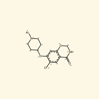 CC(=O)N1CCC(Oc2cc3c(cc2Cl)C(=O)NCO3)CC1